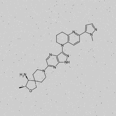 C[C@@H]1OCC2(CCN(c3cnc4c(N5CCCc6nc(-c7ccnn7C)ccc65)n[nH]c4n3)CC2)[C@@H]1N